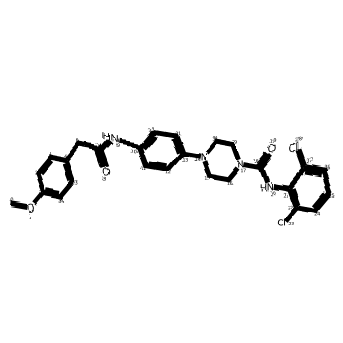 COc1ccc(CC(=O)Nc2ccc(N3CCN(C(=O)Nc4c(Cl)cccc4Cl)CC3)cc2)cc1